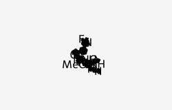 C=CC(=O)Nc1cc(Nc2cc(N3OCCC3c3cccc(-c4cnc(C)c(F)c4)c3)ncn2)c(OC)cc1N(C)CCN(C)C